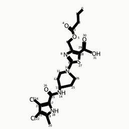 CCCC(=O)OCc1nc(N2CCC(NC(=O)c3[nH]c(C)c(Cl)c3Cl)CC2)sc1C(=O)O